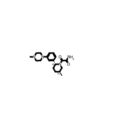 C[C@H]1CC[C@H](c2cccc(N3CCN(C)CC3)c2)N(C(=O)C(N)=O)C1